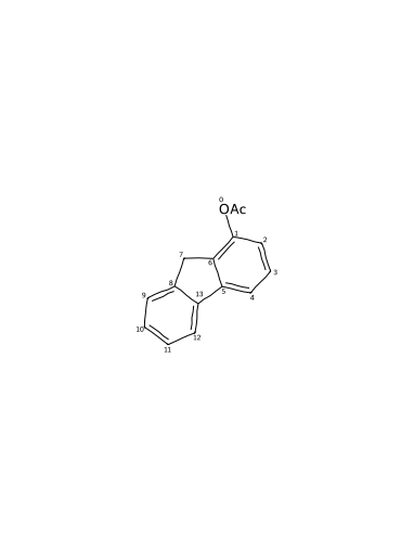 CC(=O)Oc1cccc2c1Cc1ccccc1-2